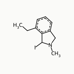 CCc1cccc2c1C(I)N(C)C2